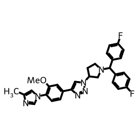 COc1cc(-c2cn(C3CCN(C(c4ccc(F)cc4)c4ccc(F)cc4)C3)nn2)ccc1-n1cnc(C)c1